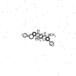 COc1cc(N2CCOCC2)ccc1Nc1nc(Nc2ccc3c(c2OC)CCCC(N2CCOCC2)C3)ncc1Cl